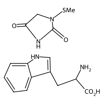 CSN1CC(=O)NC1=O.NC(Cc1c[nH]c2ccccc12)C(=O)O